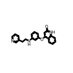 O=c1cc(Oc2cccc(NCCc3cccnc3)c2)c2ccccc2[nH]1